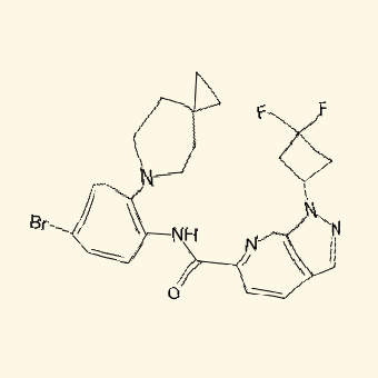 O=C(Nc1ccc(Br)cc1N1CCC2(CC1)CC2)c1ccc2cnn(C3CC(F)(F)C3)c2n1